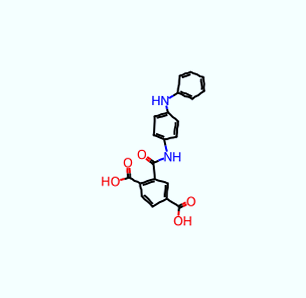 O=C(O)c1ccc(C(=O)O)c(C(=O)Nc2ccc(Nc3ccccc3)cc2)c1